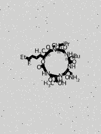 CCC(F)CCCC1OC(=O)CNC(=O)[C@H]([C@H](C)O)NC(=O)[C@H](CN)NC(=O)[C@H]([C@H](C)CC)NC(=O)[C@H](CC(C)C)N(C)C(=O)[C@@H]1C